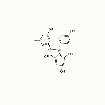 Cc1cc(O)cc([C@@H]2C(=O)c3cc(O)cc(O)c3[C@H]2c2ccc(O)cc2)c1